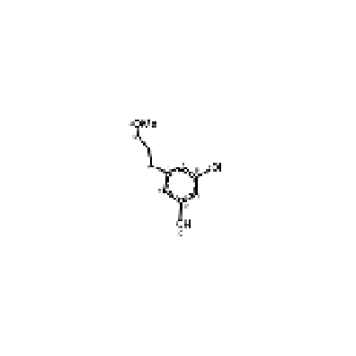 COCCCc1cc(O)cc(O)c1